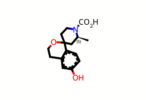 C[C@H]1CC2(CCN1C(=O)O)OCCc1cc(O)ccc12